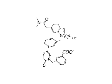 CN(C)C(=O)Cc1ccc2nc(N)n(Cc3cccc(-c4ccc(=O)n(Cc5cccc(C(=O)[O-])c5)n4)c3)c2c1.[Li+]